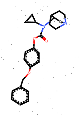 O=C(Oc1ccc(OCc2ccccc2)cc1)N(C1CC1)C1CN2CCC1CC2